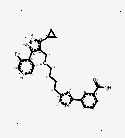 O=C(O)c1cccc(-c2noc(CCCCOCc3c(-c4ccncc4F)noc3C3CC3)n2)c1